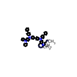 C/C=C\CCC(C)N1c2ccc(N(c3ccc(-c4ccc(N(C5=CC=C(c6ccccc6)CC5)c5ccc6c(c5)c5ccccc5n6C5=CCCCC5)cc4)cc3)c3ccc(C4C=CC=CC4)cc3)cc2C/C=C\C=C/C1C